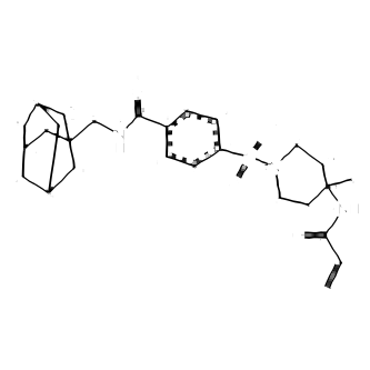 C=CC(=O)NC1(C)CCN(S(=O)(=O)c2ccc(C(=O)NCC34CC5CC(CC(C5)C3)C4)cc2)CC1